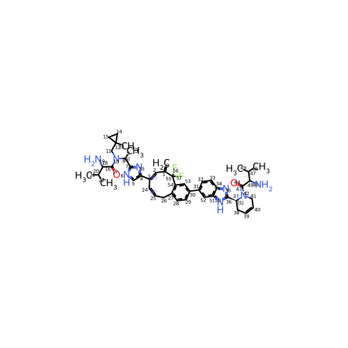 C=C1/C=C(c2c[nH]c([C@H](C)N(CC3(C)CC3)C(=O)C(N)C(C)C)n2)\C=C/Cc2ccc(-c3ccc4nc([C@@H]5CC=CCN5C(=O)C(N)C(C)C)[nH]c4c3)cc2C1(F)F